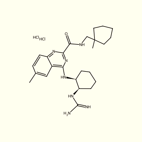 Cc1ccc2nc(C(=O)NCC3(C)CCCCC3)nc(N[C@H]3CCCC[C@H]3NC(=N)N)c2c1.Cl.Cl